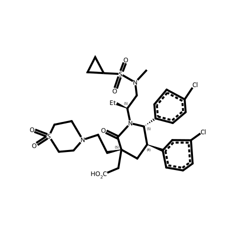 CC[C@@H](CN(C)S(=O)(=O)C1CC1)N1C(=O)[C@@](CCN2CCS(=O)(=O)CC2)(CC(=O)O)C[C@H](c2cccc(Cl)c2)[C@H]1c1ccc(Cl)cc1